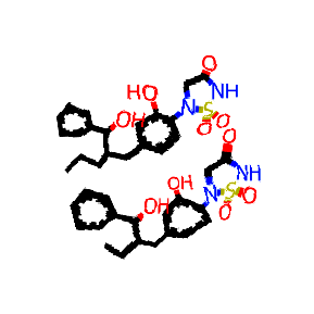 CCC(Cc1ccc(N2CC(=O)NS2(=O)=O)c(O)c1)C(O)c1ccccc1.CCCC(Cc1ccc(N2CC(=O)NS2(=O)=O)c(O)c1)C(O)c1ccccc1